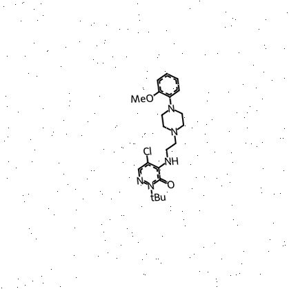 COc1ccccc1N1CCN(CCNc2c(Cl)cnn(C(C)(C)C)c2=O)CC1